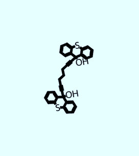 OC1(C#CCCCC#CC2(O)c3ccccc3Sc3ccccc32)c2ccccc2Sc2ccccc21